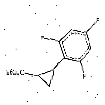 CCOC(=O)C1CC1c1c(F)cc(F)cc1F